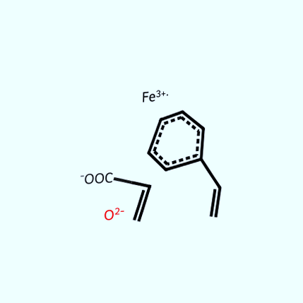 C=CC(=O)[O-].C=Cc1ccccc1.[Fe+3].[O-2]